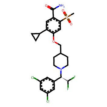 CS(=O)(=O)c1cc(OCC2CCN([C@@H](c3cc(Cl)cc(Cl)c3)C(F)F)CC2)c(C2CC2)cc1C(N)=O